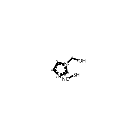 N#CS.OCn1ccnc1